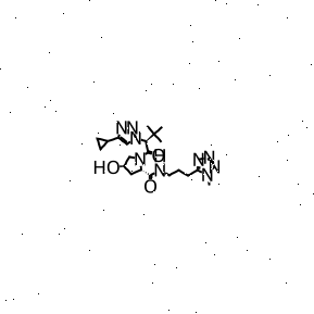 Cn1nnnc1CCCNC(=O)[C@@H]1C[C@@H](O)CN1C(=O)[C@@H](n1cc(C2CC2)nn1)C(C)(C)C